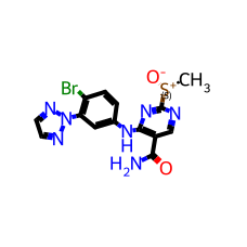 C[S@@+]([O-])c1ncc(C(N)=O)c(Nc2ccc(Br)c(-n3nccn3)c2)n1